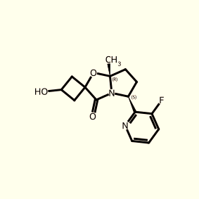 C[C@@]12CC[C@@H](c3ncccc3F)N1C(=O)C1(CC(O)C1)O2